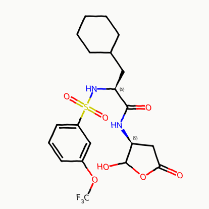 O=C1C[C@H](NC(=O)[C@H](CC2CCCCC2)NS(=O)(=O)c2cccc(OC(F)(F)F)c2)C(O)O1